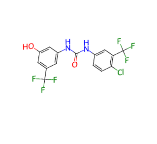 O=C(Nc1cc(O)cc(C(F)(F)F)c1)Nc1ccc(Cl)c(C(F)(F)F)c1